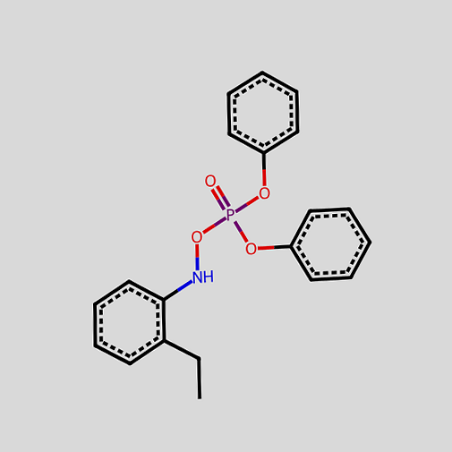 CCc1ccccc1NOP(=O)(Oc1ccccc1)Oc1ccccc1